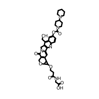 CCc1c2c(nc3ccc(OC(=O)N4CCC(N5CCCCC5)CC4)cc13)-c1cc3c(c(=O)n1C2)COC1C(OCCC(=O)NCC(=O)O)C31